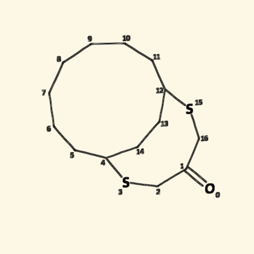 O=C1CSC2CCCCCCCC(CC2)SC1